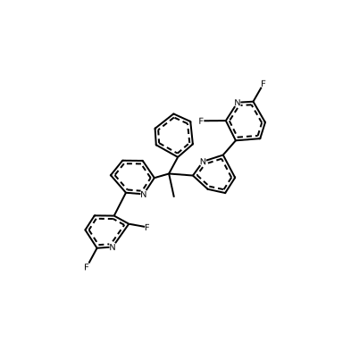 CC(c1ccccc1)(c1cccc(-c2ccc(F)nc2F)n1)c1cccc(-c2ccc(F)nc2F)n1